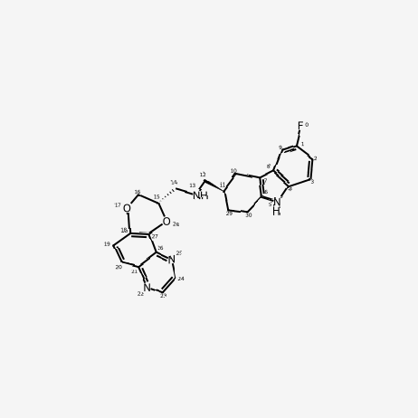 Fc1ccc2[nH]c3c(c2c1)C[C@H](CNC[C@H]1COc2ccc4nccnc4c2O1)CC3